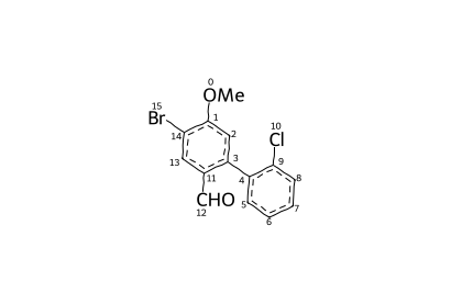 COc1cc(-c2ccccc2Cl)c(C=O)cc1Br